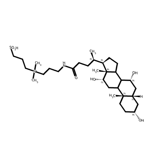 C[C@H](CCC(=O)NCCC[N+](C)(C)CCCS(=O)(=O)O)[C@H]1CCC2C3C(C[C@H](O)[C@@]21C)[C@@]1(C)CC[C@@H](O)C[C@H]1C[C@H]3O